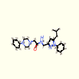 CC(C)Cc1cc(CNC(=O)CN2CCN(c3ccccc3)CC2)nn1-c1ccccc1